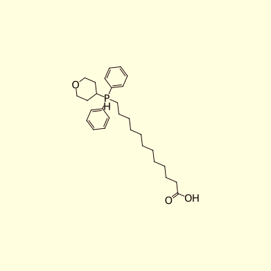 O=C(O)CCCCCCCCCCC[PH](c1ccccc1)(c1ccccc1)C1CCOCC1